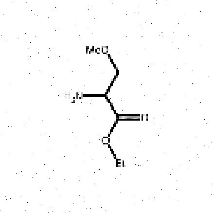 CCOC(=O)C(N)COC